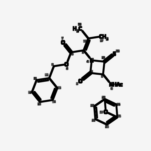 CC(=O)NC1C(=O)N(C(C(=O)OCc2ccccc2)=C(C)C)C1=S.c1cc2cc(c1)O2